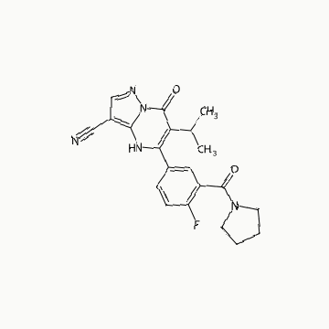 CC(C)c1c(-c2ccc(F)c(C(=O)N3CCCC3)c2)[nH]c2c(C#N)cnn2c1=O